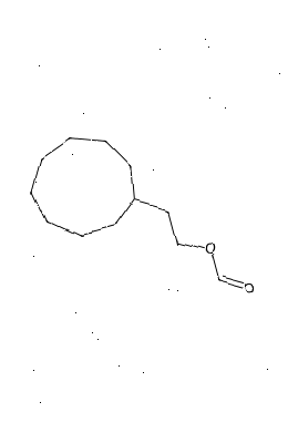 O=COCCC1CCCCCCCC1